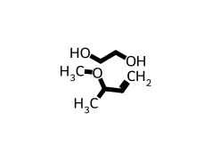 C=CC(C)OC.OCCO